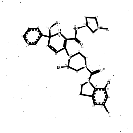 CCOC1(c2cccnc2)C=CC(N2CCN(C(=O)N3CCc4cc(F)cc(Cl)c43)C[C@H]2CC)=C(C(=O)N[C@H]2CCN(C)C2)N1